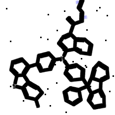 C=C(/C=C\C=C/C)c1ccc(N(c2ccc(-c3cccc4sc5c(c34)=CCC(C)C=5)cc2)c2ccc(C3(c4ccccc4)c4ccccc4-c4ccccc43)cc2)c2ccccc12